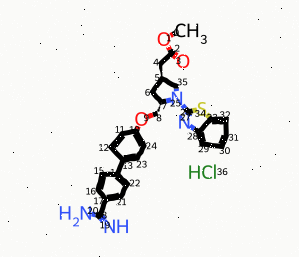 COC(=O)C[C@@H]1C[C@@H](COc2ccc(-c3ccc(C(=N)N)cc3)cc2)N(c2nc3ccccc3s2)C1.Cl